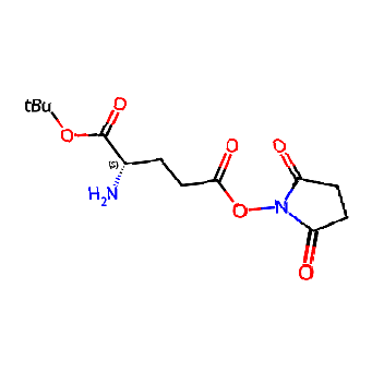 CC(C)(C)OC(=O)[C@@H](N)CCC(=O)ON1C(=O)CCC1=O